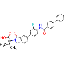 CC(C)[C@@H](C(=O)O)N1Cc2ccc(-c3ccc(NC(=O)c4ccc(-c5ccccc5)cc4)c(F)c3)cc2C1=O